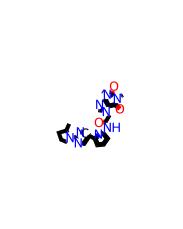 CC1CCCN1c1ncc(-c2cccc(NC(=O)Cn3cnc4c3c(=O)n(C)c(=O)n4C)n2)cn1